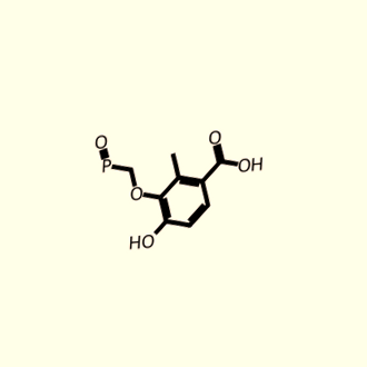 Cc1c(C(=O)O)ccc(O)c1OCP=O